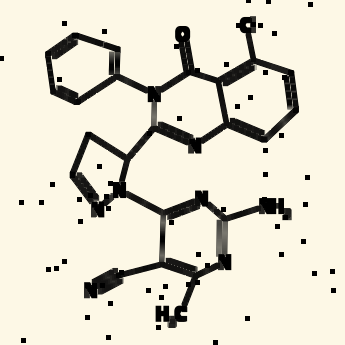 Cc1nc(N)nc(N2N=CCC2c2nc3cccc(Cl)c3c(=O)n2-c2ccccc2)c1C#N